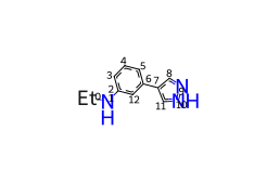 CCNc1cccc(-c2cn[nH]c2)c1